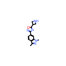 Cc1nn(C)c2cc(-c3noc(C4CNC4)n3)ccc12